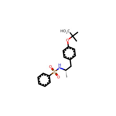 C[C@@H](Cc1ccc(OC(C)(C)C(=O)O)cc1)NS(=O)(=O)c1ccccc1